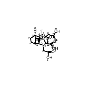 O=C(O)CN(CC(=O)O)C1C2C=C[C@@H](CC2)[C@H]1N(CC(=O)O)CC(=O)O